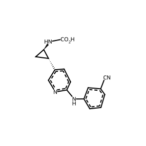 N#Cc1cccc(Nc2ccc([C@@H]3C[C@H]3NC(=O)O)cn2)c1